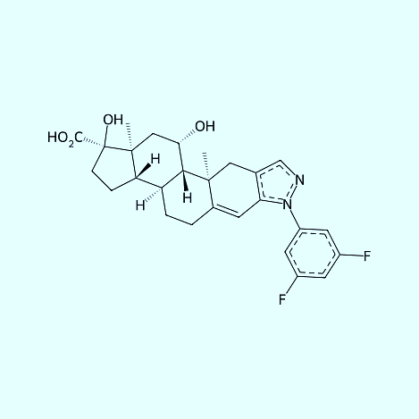 C[C@]12Cc3cnn(-c4cc(F)cc(F)c4)c3C=C1CC[C@@H]1[C@@H]2[C@@H](O)C[C@@]2(C)[C@H]1CC[C@]2(O)C(=O)O